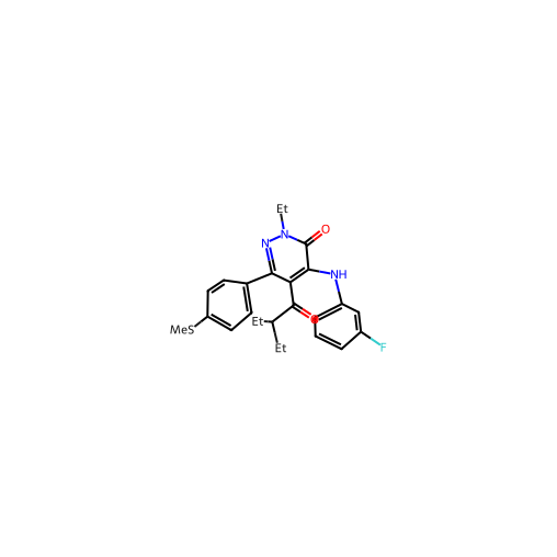 CCC(CC)C(=O)c1c(-c2ccc(SC)cc2)nn(CC)c(=O)c1Nc1cccc(F)c1